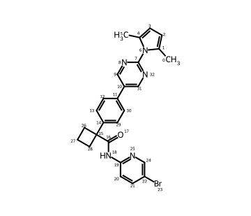 Cc1ccc(C)n1-c1ncc(-c2ccc(C3(C(=O)Nc4ccc(Br)cn4)CCC3)cc2)cn1